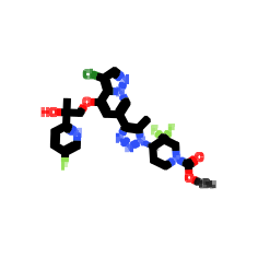 Cc1c(-c2cc(OCC(C)(O)c3ccc(F)cn3)c3c(Cl)cnn3c2)nnn1[C@@H]1CCN(C(=O)OC(C)(C)C)CC1(F)F